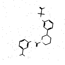 CC(C)c1cccc(OC(=O)N2CCCC(c3cccc(OC(C)(C)C(=O)O)c3)C2)c1